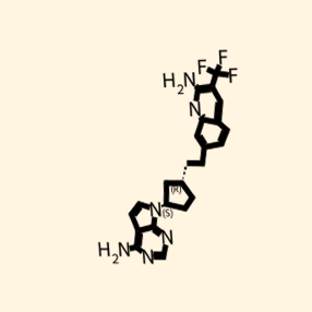 Nc1nc2cc(CC[C@@H]3CC[C@H](n4ccc5c(N)ncnc54)C3)ccc2cc1C(F)(F)F